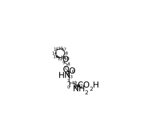 CC(CCNC(=O)OCCOC1C#CCCCCC1)CC(N)C(=O)O